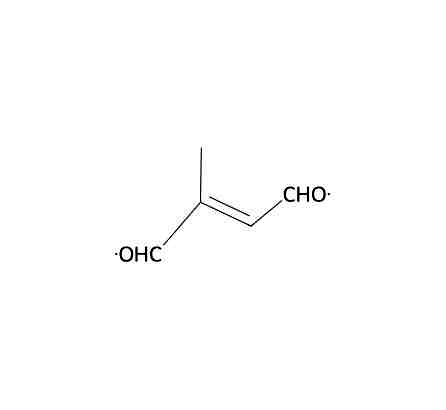 C/C([C]=O)=C\[C]=O